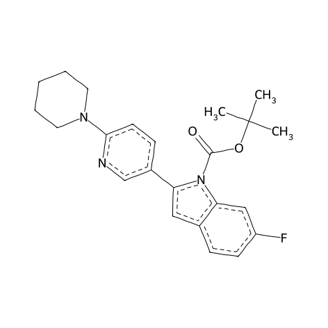 CC(C)(C)OC(=O)n1c(-c2ccc(N3CCCCC3)nc2)cc2ccc(F)cc21